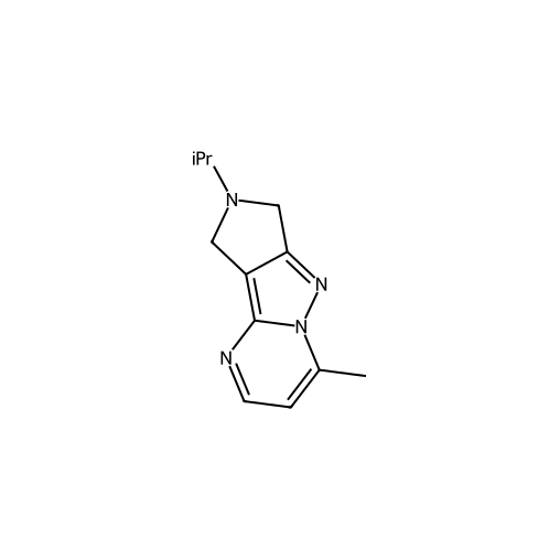 Cc1ccnc2c3c(nn12)CN(C(C)C)C3